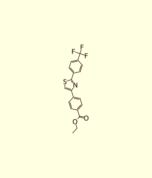 CCOC(=O)c1ccc(-c2csc(-c3ccc(C(F)(F)F)cc3)n2)cc1